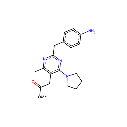 COC(=O)Cc1c(C)nc(Cc2ccc(N)cc2)nc1N1CCCC1